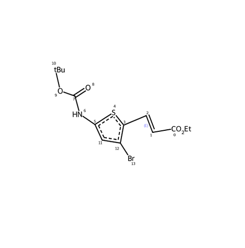 CCOC(=O)/C=C/c1sc(NC(=O)OC(C)(C)C)cc1Br